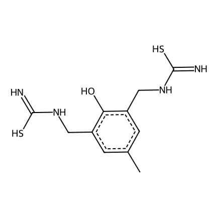 Cc1cc(CNC(=N)S)c(O)c(CNC(=N)S)c1